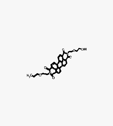 CCCOCCN1C(=O)c2ccc3c4ccc5c6c(ccc(c7ccc(c2c37)C1=O)c64)C(=O)N(CCOCCO)C5=O